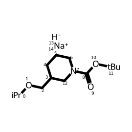 CC(C)OCC1CCCN(C(=O)OC(C)(C)C)C1.[H-].[Na+]